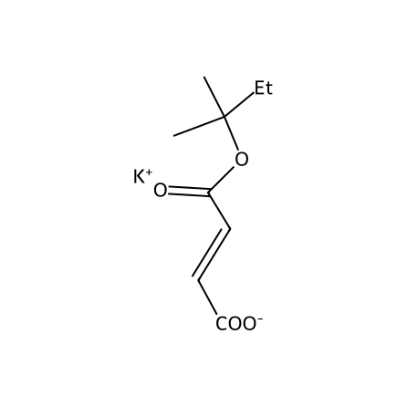 CCC(C)(C)OC(=O)C=CC(=O)[O-].[K+]